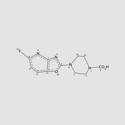 O=C(O)N1CCN(c2nc3nc(F)ccc3o2)CC1